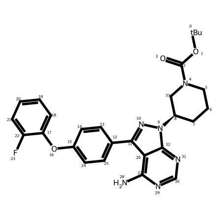 CC(C)(C)OC(=O)N1CCC[C@@H](n2nc(-c3ccc(Oc4ccccc4F)cc3)c3c(N)ncnc32)C1